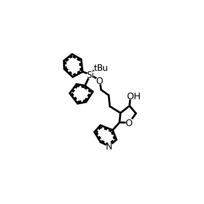 CC(C)(C)[Si](OCCCC1C(O)COC1c1cccnc1)(c1ccccc1)c1ccccc1